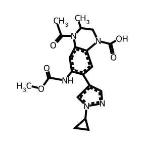 COC(=O)Nc1cc2c(cc1-c1cnn(C3CC3)c1)N(C(=O)O)CC(C)N2C(C)=O